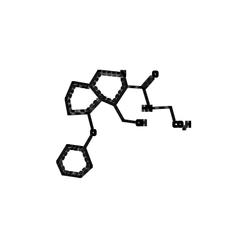 O=C(O)CNC(=O)c1ncc2cccc(Oc3ccccc3)c2c1CO